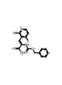 O=C(N/C(=C\c1c(I)ccnc1Cl)C(=O)O)OCc1ccccc1